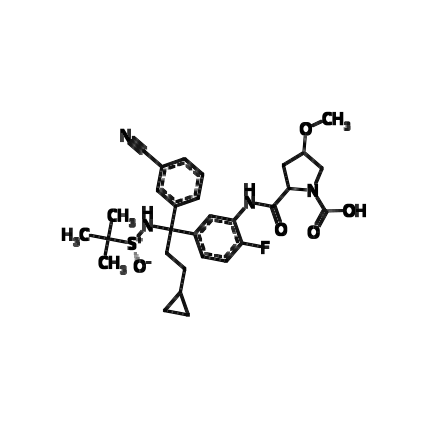 COC1CC(C(=O)Nc2cc(C(CCC3CC3)(N[S@+]([O-])C(C)(C)C)c3cccc(C#N)c3)ccc2F)N(C(=O)O)C1